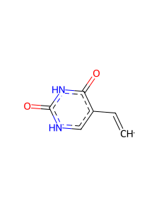 [CH]=Cc1c[nH]c(=O)[nH]c1=O